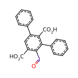 O=Ic1c(C(=O)O)cc(-c2ccccc2)c(C(=O)O)c1-c1ccccc1